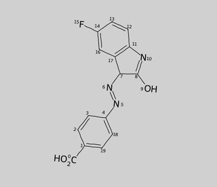 O=C(O)c1ccc(/N=N/C2C(O)=Nc3ccc(F)cc32)cc1